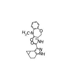 CN1C(=O)[C@@H](NC(=O)c2n[nH]c3c2C2CC2CC3)COc2ccccc21